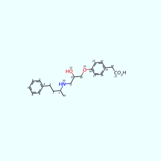 CC(CCc1ccccc1)NCC(O)COc1ccc(CC(=O)O)cc1